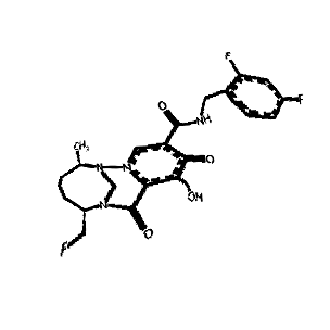 C[C@@H]1CC[C@H](CF)N2CN1n1cc(C(=O)NCc3ccc(F)cc3F)c(=O)c(O)c1C2=O